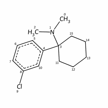 CN(C)C1(c2cccc(Cl)c2)CCCCC1